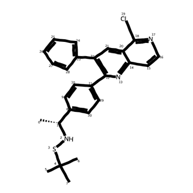 C[C@@H](NSC(C)(C)C)c1ccc(-c2nc3ccnc(Cl)c3cc2-c2ccccc2)cc1